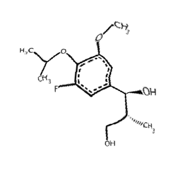 COc1cc([C@@H](O)[C@H](C)CO)cc(F)c1OC(C)C